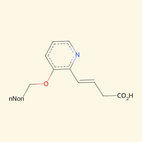 CCCCCCCCCCOc1cccnc1/C=C/CC(=O)O